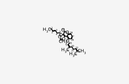 CCC=CCCOc1c(OC(C)=O)c2c(OCC=C(C)CCC=C(C)C)cccc2oc1=O